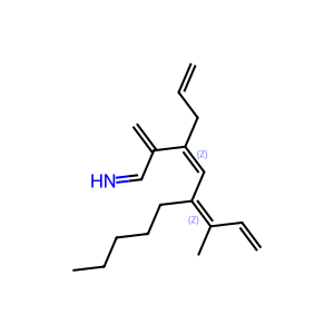 C=CC/C(=C/C(CCCCC)=C(/C)C=C)C(=C)C=N